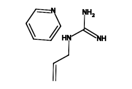 C=CCNC(=N)N.c1ccncc1